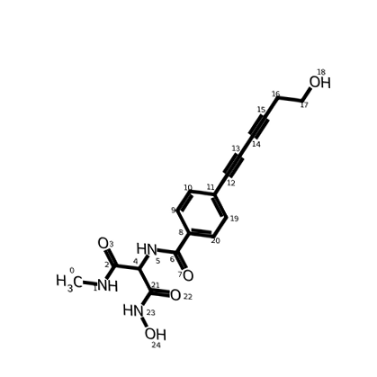 CNC(=O)C(NC(=O)c1ccc(C#CC#CCCO)cc1)C(=O)NO